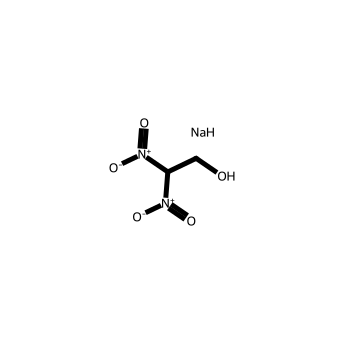 O=[N+]([O-])C(CO)[N+](=O)[O-].[NaH]